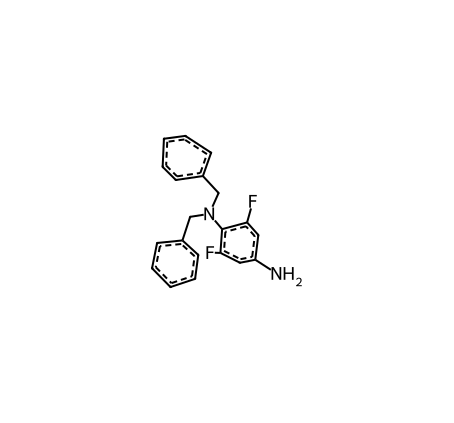 Nc1cc(F)c(N(Cc2ccccc2)Cc2ccccc2)c(F)c1